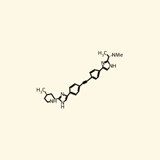 CN[C@@H](C)c1nc(-c2ccc(C#Cc3ccc(-c4c[nH]c([C@@H]5C[C@H](C)CCN5)n4)cc3)cc2)c[nH]1